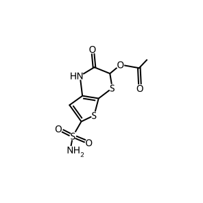 CC(=O)OC1Sc2sc(S(N)(=O)=O)cc2NC1=O